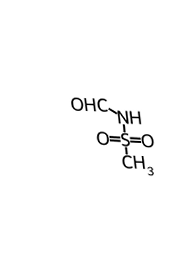 CS(=O)(=O)NC=O